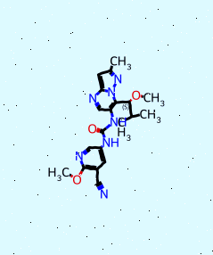 COc1ncc(NC(=O)Nc2cnc3cc(C)nn3c2[C@@H](OC)C(C)C)cc1C#N